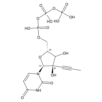 CC#C[C@@]1(O)C(O)[C@@H](COP(=O)(O)OP(=O)(O)OP(=O)(O)O)O[C@@H]1n1ccc(=O)[nH]c1=O